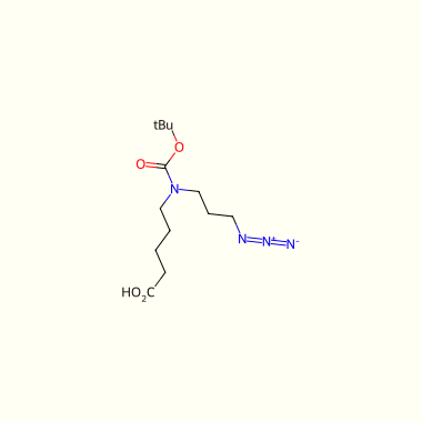 CC(C)(C)OC(=O)N(CCCCC(=O)O)CCCN=[N+]=[N-]